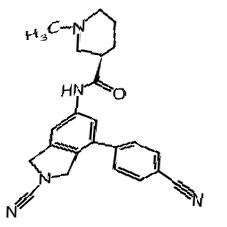 CN1CCC[C@@H](C(=O)Nc2cc3c(c(-c4ccc(C#N)cc4)c2)CN(C#N)C3)C1